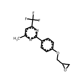 Cc1cc(C(F)(F)F)nc(-c2ccc(OCC3CO3)cc2)n1